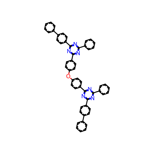 c1ccc(-c2ccc(-c3nc(-c4ccccc4)nc(-c4ccc(Oc5ccc(-c6nc(-c7ccccc7)nc(-c7ccc(-c8ccccc8)cc7)n6)cc5)cc4)n3)cc2)cc1